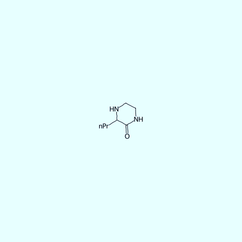 CCCC1NCCNC1=O